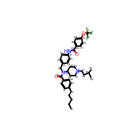 CCCCCc1ccc(C(=O)N(Cc2ccc(NC(=O)c3ccc(OC(F)(F)F)cc3)cc2)C2CCN(CCC(C)C)CC2)cc1